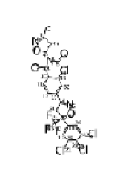 CC1=NOC(N(C=O)C(=O)c2ccc(C3=NO[C@@](c4cc(Cl)c(Cl)c(Cl)c4)(C(F)(F)F)C3)cc2Cl)C1